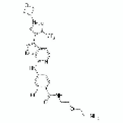 CCc1cc(Nc2nccn3c(-c4cn(C5COC5)nc4C(F)(F)F)cnc23)ccc1C(=O)NCCOCCN